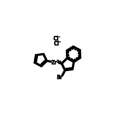 BrC1=Cc2ccccc2[CH]1[Zr+2][C]1=CC=CC1.[Cl-].[Cl-]